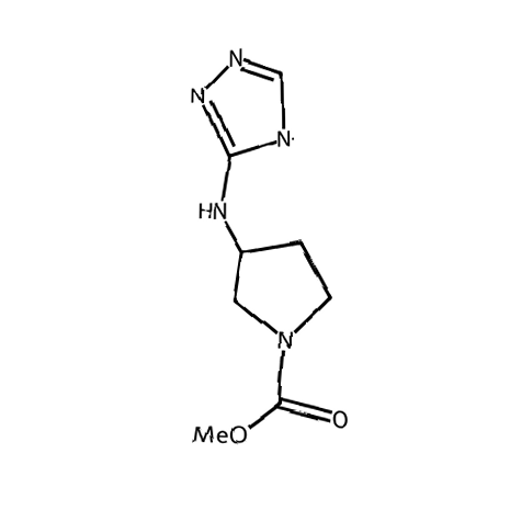 COC(=O)N1CCC(NC2=NN=C[N]2)C1